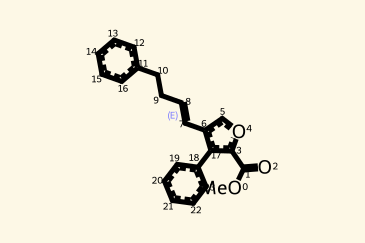 COC(=O)c1occ(/C=C/CCc2ccccc2)c1-c1ccccc1